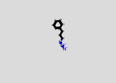 [N-]=[N+]=NCCCc1ccccc1